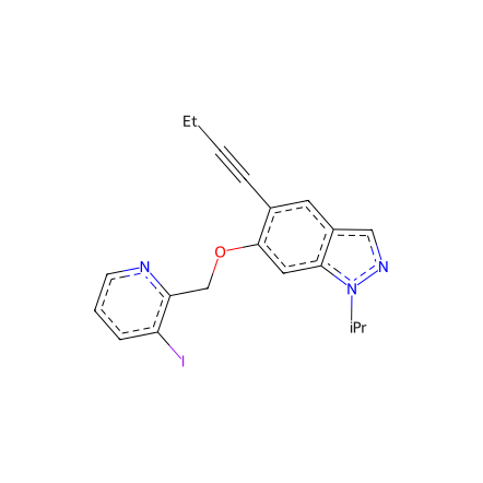 CCC#Cc1cc2cnn(C(C)C)c2cc1OCc1ncccc1I